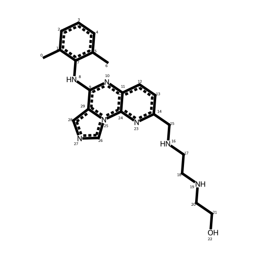 Cc1cccc(C)c1Nc1nc2ccc(CNCCNCCO)nc2n2cncc12